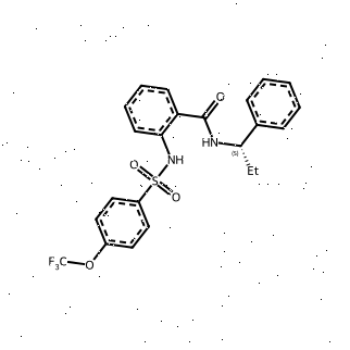 CC[C@H](NC(=O)c1ccccc1NS(=O)(=O)c1ccc(OC(F)(F)F)cc1)c1ccccc1